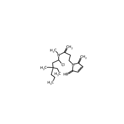 B=c1ccc(=C)n1CCC(=C)N(C)C(Cl)CC(C)(CC)CCC